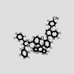 N#Cc1ccc(-c2ccc(-c3cccc4c3Oc3ccc(-c5nc(-c6ccccc6)cc(-c6ccccc6)n5)cc3C43c4ccccc4-c4ccccc43)c3ccccc23)cc1